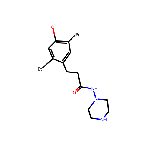 CCc1cc(O)c(C(C)C)cc1CCC(=O)NN1CCNCC1